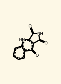 O=C1NC(=O)c2c1[nH]c1ccccc1c2=O